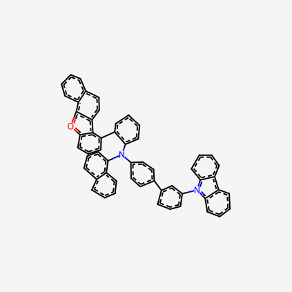 c1cc(-c2ccc(N(c3ccccc3-c3cccc4oc5c6ccccc6ccc5c34)c3cccc4ccccc34)cc2)cc(-n2c3ccccc3c3ccccc32)c1